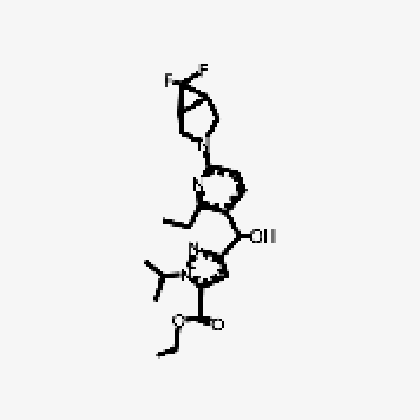 CCOC(=O)c1cc(C(O)c2ccc(N3CC4C(C3)C4(F)F)nc2CC)nn1C(C)C